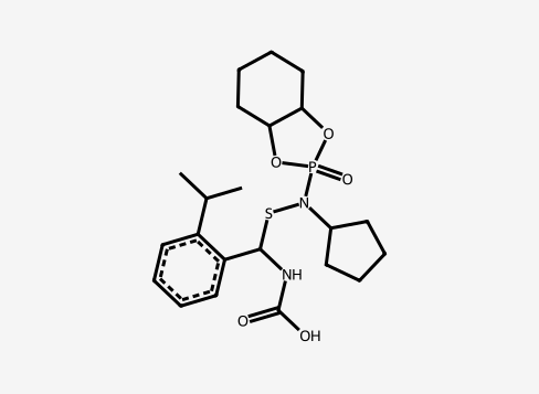 CC(C)c1ccccc1C(NC(=O)O)SN(C1CCCC1)P1(=O)OC2CCCCC2O1